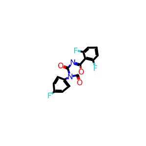 O=c1nc(-c2c(F)cccc2F)oc(=O)n1-c1ccc(F)cc1